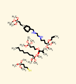 C=C(C)C(=O)OCCC[Si](OC)(OC)OC.C=CCO[Si](CCCNCCNCc1ccccc1)(OC)OC.CCCCCCCC[Si](OC)(OC)OC.CCC[Si](OC)(OC)OC.CO[Si](CCCS)(OC)OC